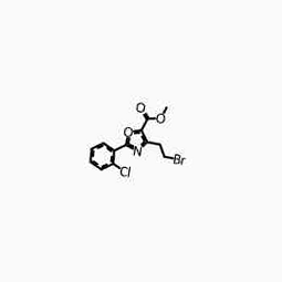 COC(=O)c1oc(-c2ccccc2Cl)nc1CCBr